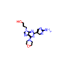 Nc1ncc(-c2nc(N3CCOCC3)c3ncn(CCCO)c3n2)cn1